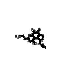 CCSc1nc(Cl)c2c3c(c(Br)c(F)c2n1)COC3CC#N